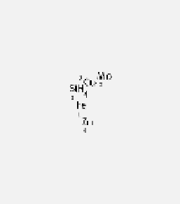 [Cu].[Fe].[Mo].[SiH4].[Zn]